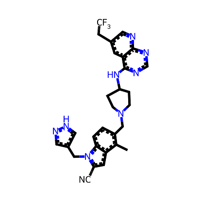 Cc1c(CN2CCC(Nc3ncnc4ncc(CC(F)(F)F)cc34)CC2)ccc2c1cc(C#N)n2Cc1cn[nH]c1